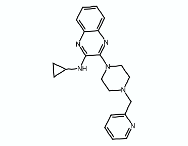 c1ccc(CN2CCN(c3nc4ccccc4nc3NC3CC3)CC2)nc1